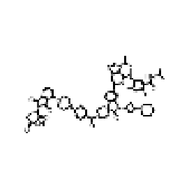 Cc1cc(F)c(Nc2nc(-c3ccc4c(c3)N(C3CC(N5CCCCC5)C3)C(=O)C43CCN(C(=O)c4ccc(N5CCN(c6cccc7c6C(=O)N(C6CCC(=O)NC6=O)C7=O)CC5)nc4)CC3)cc3ncn(C(C)C)c23)cc1C(=O)NC(C)C